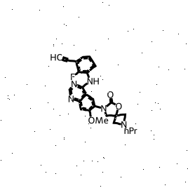 C#Cc1cccc(Nc2ncnc3cc(OC)c(N4CC5(CN(CCC)C5)OC4=O)cc23)c1F